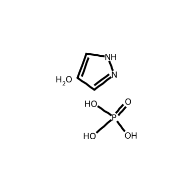 O.O=P(O)(O)O.c1cn[nH]c1